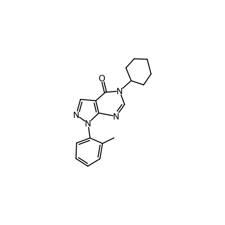 Cc1ccccc1-n1ncc2c(=O)n(C3CCCCC3)cnc21